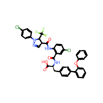 O=C(N[C@@H](Cc1ccc(-c2ccccc2Oc2ccccc2)cc1)C(=O)O)c1cc(Cl)ccc1NC(=O)C1C=NN(c2ccc(Cl)cc2)C1C(F)(F)F